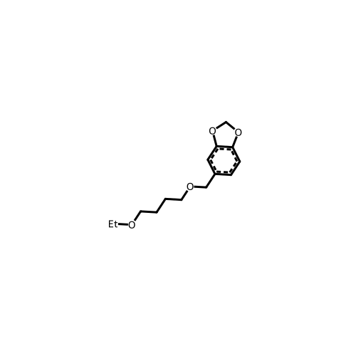 CCOCCCCOCc1ccc2c(c1)OCO2